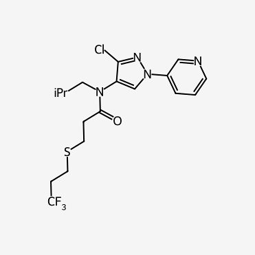 CC(C)CN(C(=O)CCSCCC(F)(F)F)c1cn(-c2cccnc2)nc1Cl